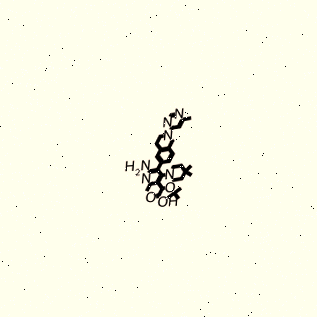 Cc1cc(N2CCc3cc(-c4c(N)nc(C)c(C(OC(C)(C)C)C(=O)O)c4N4CCC(C)(C)CC4)ccc3C2)ncn1